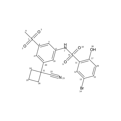 CS(=O)(=O)c1cc(NS(=O)(=O)c2cc(Br)ccc2O)cc(C2(C#N)CCC2)c1